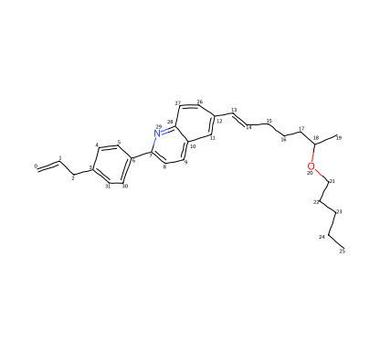 C=CCc1ccc(-c2ccc3cc(C=CCCCC(C)OCCCCC)ccc3n2)cc1